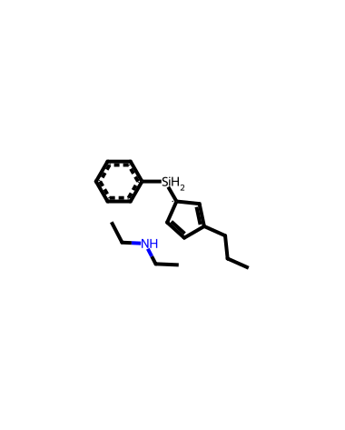 CCCC1=C[C]([SiH2]c2ccccc2)C=C1.CCNCC